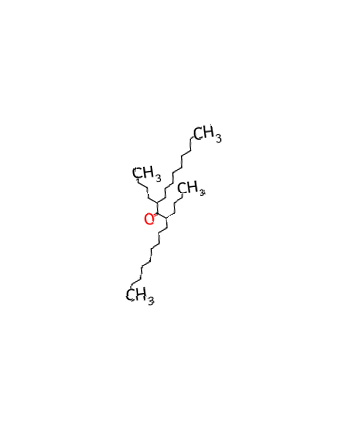 CCCCCCCCCC(CCCC)C(=O)C(CCCC)CCCCCCCCC